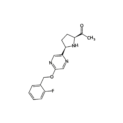 CC(=O)[C@@H]1CC[C@H](c2cnc(OCc3ccccc3F)cn2)N1